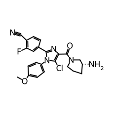 COc1ccc(-n2c(-c3ccc(C#N)c(F)c3)nc(C(=O)N3CCC[C@@H](N)C3)c2Cl)cc1